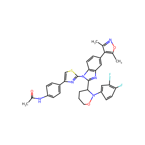 CC(=O)Nc1ccc(-c2csc(-n3c(C4CCCON4c4ccc(F)c(F)c4)nc4cc(-c5c(C)noc5C)ccc43)n2)cc1